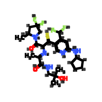 C/C(=N\C(C(=O)N1CC(F)(F)C[C@@H]1C)C(=S)c1cnc(NC2CCCC2)cc1C(F)F)C(=O)NCC(C)(C)O